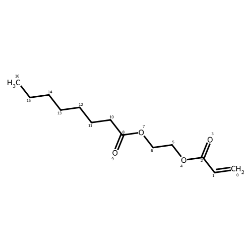 C=CC(=O)OCCOC(=O)CCCCCCC